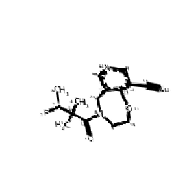 C[C@H](F)C(C)(C)C(=O)N1CCOc2c(C#N)cncc2C1